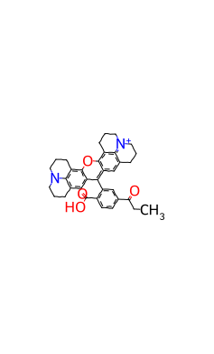 CCC(=O)c1ccc(C(=O)O)c(C2=c3cc4c5c(c3Oc3c2cc2c6c3CCCN6CCC2)CCC[N+]=5CCC4)c1